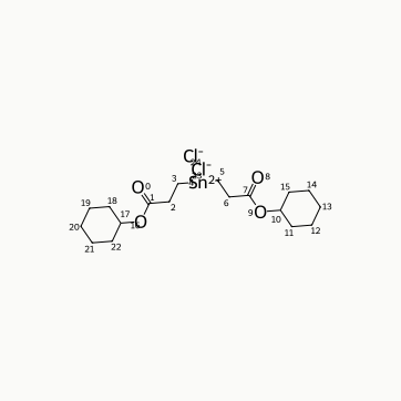 O=C(C[CH2][Sn+2][CH2]CC(=O)OC1CCCCC1)OC1CCCCC1.[Cl-].[Cl-]